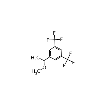 COC(C)c1cc(C(F)(F)F)cc(C(F)(F)F)c1